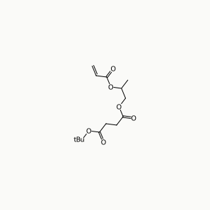 C=CC(=O)OC(C)COC(=O)CCC(=O)OC(C)(C)C